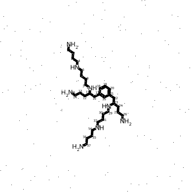 NCCCCNCCCCNC(CCCN)Cc1cccc(CC(CCCN)NCCCCNCCCCN)c1